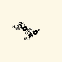 CN(C)/C=C(\C#N)c1ccc(NC(=O)Nc2cc(C(C)(C)C)nn2-c2ccc(F)cc2)cc1